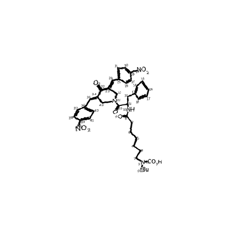 CC(C)(C)N(CCCCCCC(=O)NC(Cc1ccccc1)C(=O)N1C/C(=C\c2ccc([N+](=O)[O-])cc2)C(=O)/C(=C/c2ccc([N+](=O)[O-])cc2)C1)C(=O)O